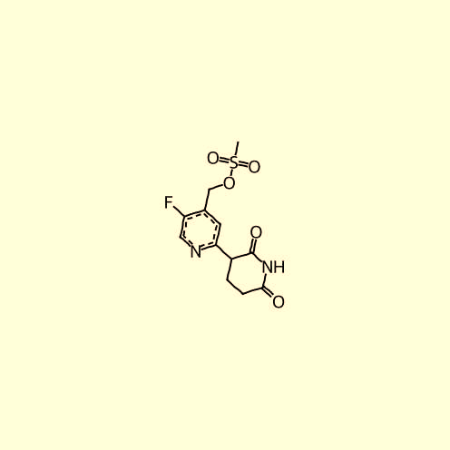 CS(=O)(=O)OCc1cc(C2CCC(=O)NC2=O)ncc1F